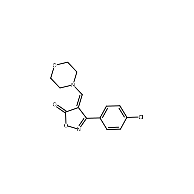 O=C1ON=C(c2ccc(Cl)cc2)C1=CN1CCOCC1